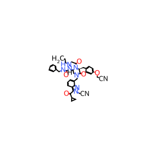 C=CCN1CC(=O)N2[C@@H](Cc3ccc(OCC#N)cc3)C(=O)N(Cc3cccc4c(C(=O)C5CC5)n(CC#N)nc34)C[C@@H]2N1C(=O)NCc1ccccc1